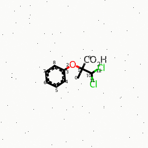 CC(Oc1ccccc1)(C(=O)O)C(Cl)Cl